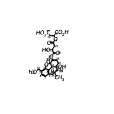 CN1CC[C@]23c4c5ccc(CO)c4O[C@H]2C(OC(=O)[C@@H](O)CC(=O)O[C@@H](CC(=O)O)C(=O)O)=CC[C@@]3(O)[C@H]1C5